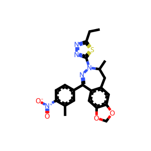 CCc1nnc(N2N=C(c3ccc([N+](=O)[O-])c(C)c3)c3cc4c(cc3CC2C)OCO4)s1